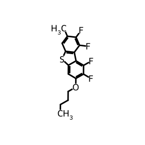 CCCCOc1cc2sc3cc(C)c(F)c(F)c3c2c(F)c1F